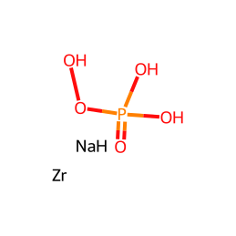 O=P(O)(O)OO.[NaH].[Zr]